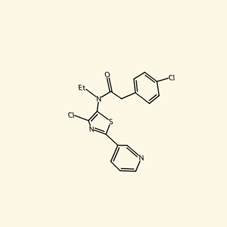 CCN(C(=O)Cc1ccc(Cl)cc1)c1sc(-c2cccnc2)nc1Cl